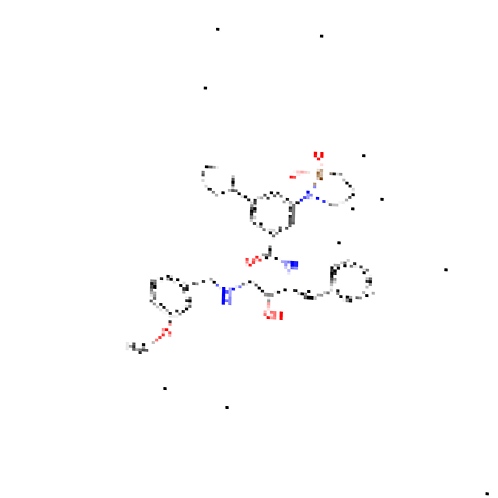 COc1cccc(CNC[C@@H](O)[C@H](Cc2ccccc2)NC(=O)c2cc(C3CCCC3)cc(N3CCCS3(=O)=O)c2)c1